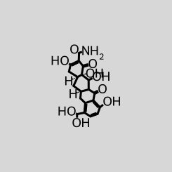 NC(=O)C1=C(O)C[C@@H]2C[C@@H]3Cc4c(C(O)O)ccc(O)c4C(=O)C3C(O)[C@]2(O)C1=O